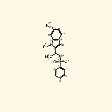 CCn1c(C(C)NS(=O)(=O)c2ccncc2)nc2ccc(C(F)(F)F)cc21